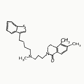 Cc1ccc2c(c1C)CCN(CCCN(C)CCCCc1csc3ccccc13)C2=O